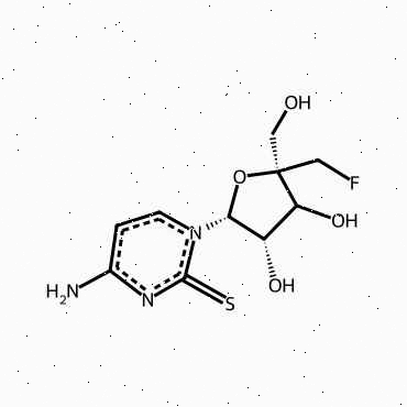 Nc1ccn([C@@H]2O[C@@](CO)(CF)C(O)[C@@H]2O)c(=S)n1